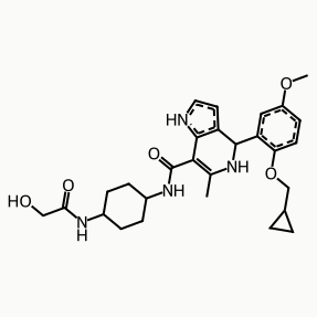 COc1ccc(OCC2CC2)c(C2NC(C)=C(C(=O)NC3CCC(NC(=O)CO)CC3)c3[nH]ccc32)c1